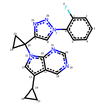 Fc1ccccc1-n1cc(C2(n3cc(C4CC4)c4cncnc43)CC2)nn1